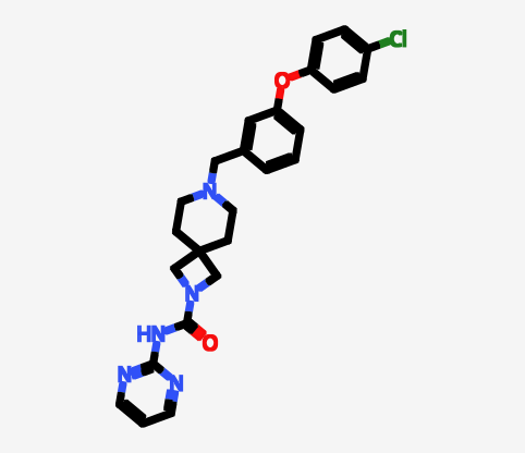 O=C(Nc1ncccn1)N1CC2(CCN(Cc3cccc(Oc4ccc(Cl)cc4)c3)CC2)C1